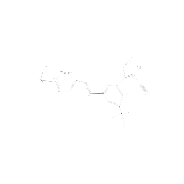 N#Cc1[nH]nnc1-c1cc(/C=C/c2ccc(C(F)(F)F)cc2)cc(C(F)(F)F)c1